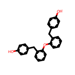 Oc1ccc(Cc2ccccc2Oc2ccccc2Cc2ccc(O)cc2)cc1